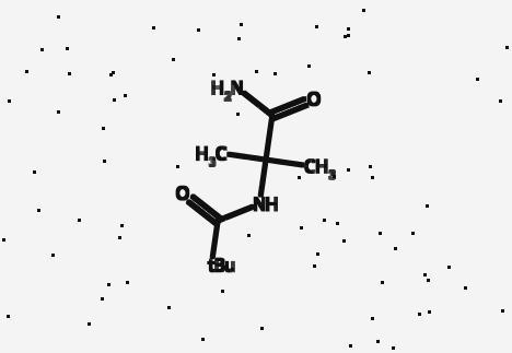 CC(C)(C)C(=O)NC(C)(C)C(N)=O